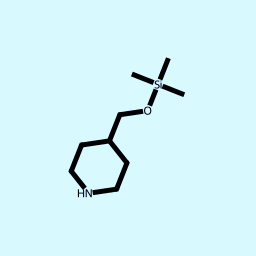 C[Si](C)(C)OCC1CCNCC1